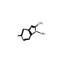 CCCCn1c(C)cc2cc(F)ccc21